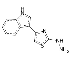 NNc1nc(-c2c[nH]c3ccccc23)cs1